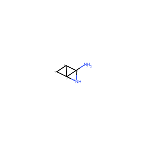 NC12NC13CC23